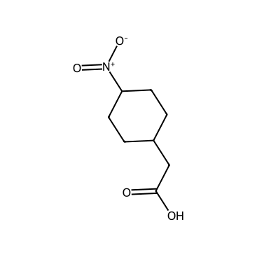 O=C(O)CC1CCC([N+](=O)[O-])CC1